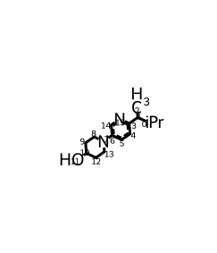 CC(C)C(C)c1ccc(N2CCC(O)CC2)cn1